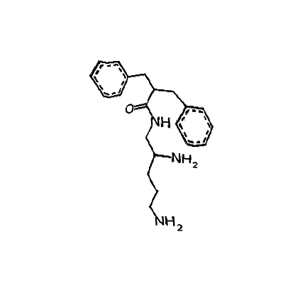 NCCCC(N)CNC(=O)C(Cc1ccccc1)Cc1ccccc1